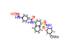 COc1ccc(NS(=O)(=O)c2ccc(NC(=O)c3ccc(NOO)cc3)c3ccccc23)cc1